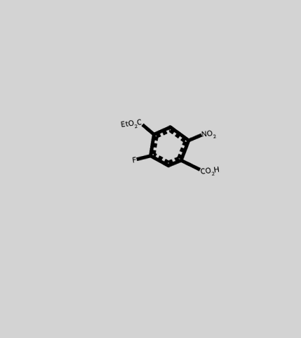 CCOC(=O)c1cc([N+](=O)[O-])c(C(=O)O)cc1F